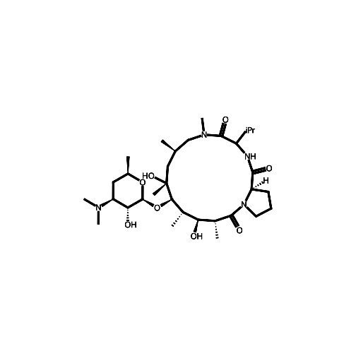 CC(C)C1NC(=O)[C@H]2CCCN2C(=O)[C@H](C)[C@@H](O)[C@H](C)[C@@H](O[C@@H]2O[C@H](C)C[C@H](N(C)C)[C@H]2O)[C@](C)(O)C[C@@H](C)CN(C)C1=O